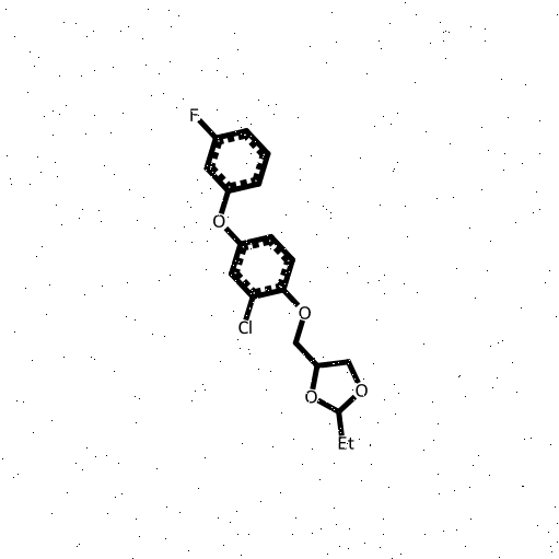 CCC1OCC(COc2ccc(Oc3cccc(F)c3)cc2Cl)O1